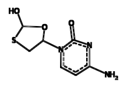 Nc1ccn(C2CSC(O)O2)c(=O)n1